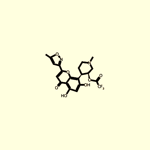 Cc1cc(-c2cc(=O)c3c(O)cc(O)c([C@H]4CCN(C)C[C@H]4OC(=O)C(F)(F)F)c3o2)no1